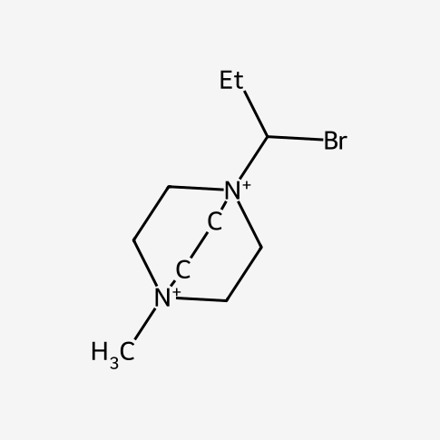 CCC(Br)[N+]12CC[N+](C)(CC1)CC2